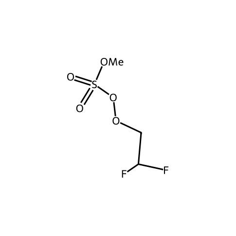 COS(=O)(=O)OOCC(F)F